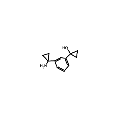 NC1(c2cccc(C3(O)CC3)c2)CC1